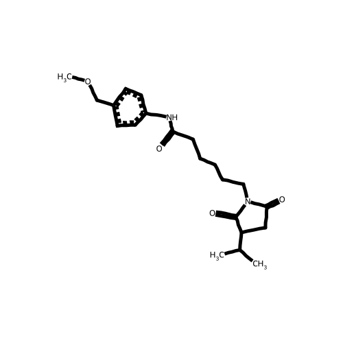 COCc1ccc(NC(=O)CCCCCN2C(=O)CC(C(C)C)C2=O)cc1